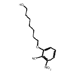 N#Cc1c(OCCCCCCCO)cccc1[N+](=O)[O-]